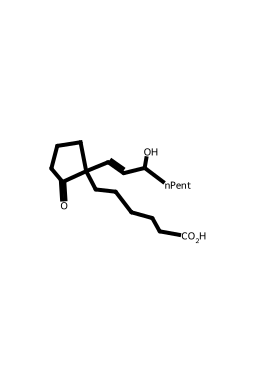 CCCCCC(O)C=CC1(CCCCCC(=O)O)CCCC1=O